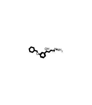 NN=NCC[C@@H](O)c1cccc(OCC2CCCCC2)c1